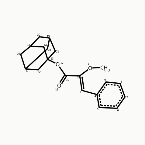 COC(=Cc1ccccc1)C(=O)OC12CC3CC(CC(C3)C1)C2